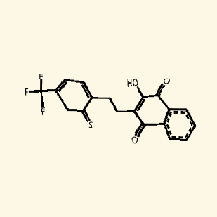 O=C1C(O)=C(CCC2=CC=C(C(F)(F)F)CC2=S)C(=O)c2ccccc21